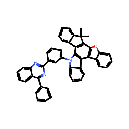 CC1(C)c2ccccc2-c2c1c1oc3ccccc3c1c1c3ccccc3n(-c3cccc(-c4nc(-c5ccccc5)c5ccccc5n4)c3)c21